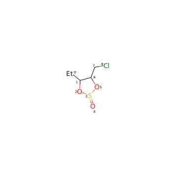 CCC1OS(=O)OC1CCl